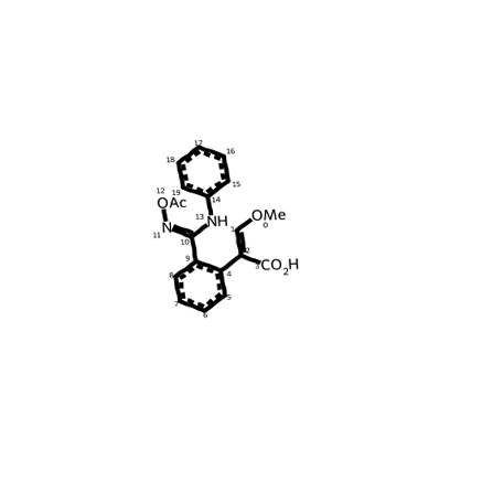 COC=C(C(=O)O)c1ccccc1C(=NOC(C)=O)Nc1ccccc1